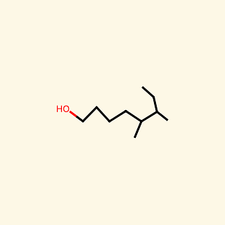 CCC(C)C(C)CCCCO